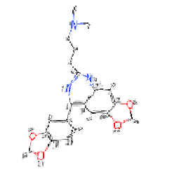 CN(C)CCCc1nc(-c2ccc3c(c2)OCO3)c2cc3c(cc2n1)OCO3